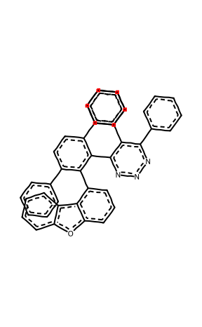 c1ccc(-c2ccc(-c3ccccc3)c(-c3cccc4oc5ccccc5c34)c2-c2nnnc(-c3ccccc3)c2-c2ccccc2)cc1